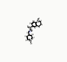 CN1CCCc2cc(N(C)/N=C/c3cc[n+](C)cc3)ccc21